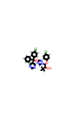 CC(C)(C)C(O)C(Oc1ccc(Cl)cc1)n1cncn1.OC(c1ccc(Cl)cc1)(c1cncnc1)c1ccccc1Cl